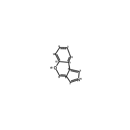 c1ccc2c3cncc-3coc2c1